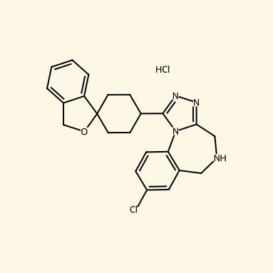 Cl.Clc1ccc2c(c1)CNCc1nnc(C3CCC4(CC3)OCc3ccccc34)n1-2